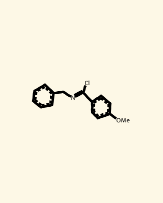 COc1ccc(/C(Cl)=N/Cc2ccccc2)cc1